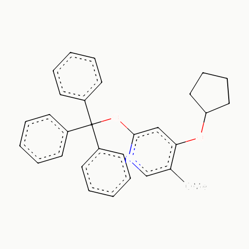 COc1cnc(OC(c2ccccc2)(c2ccccc2)c2ccccc2)cc1OC1CCCC1